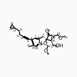 COCO[C@@]1(Cc2cc(C#CCCC3CC3)c(C)cn2)C(=O)N(COC)[C@H]1CO